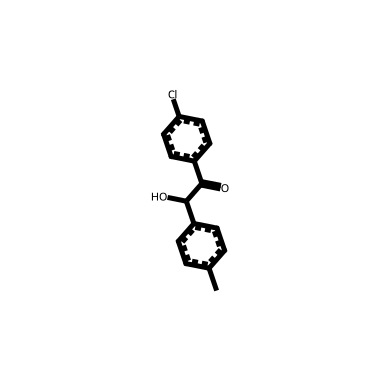 Cc1ccc(C(O)C(=O)c2ccc(Cl)cc2)cc1